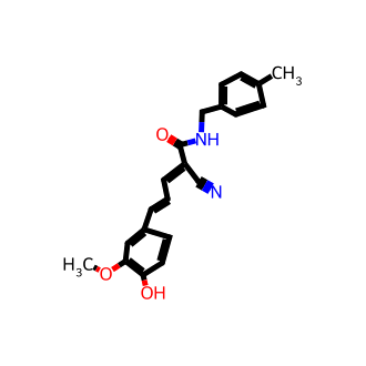 COc1cc(/C=C/C=C(\C#N)C(=O)NCc2ccc(C)cc2)ccc1O